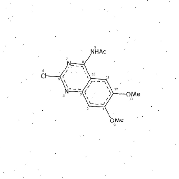 COc1cc2nc(Cl)nc(NC(C)=O)c2cc1OC